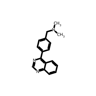 CN(C)Cc1ccc(-c2n[c]nc3ccccc23)cc1